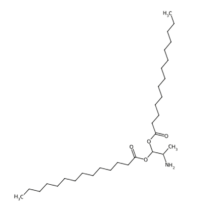 CCCCCCCCCCCCCC(=O)OC(OC(=O)CCCCCCCCCCCCC)C(C)N